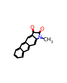 CN1C(=O)C(=O)c2cc3cc4ccccc4cc3cc21